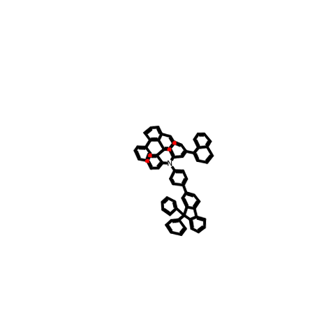 c1ccc(-c2cccc3cccc(-c4ccccc4N(c4ccc(-c5ccc6c(c5)C(c5ccccc5)(c5ccccc5)c5ccccc5-6)cc4)c4cccc(-c5cccc6ccccc56)c4)c23)cc1